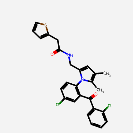 Cc1cc(CNC(=O)Cc2cccs2)n(-c2ccc(Cl)cc2C(=O)c2ccccc2Cl)c1C